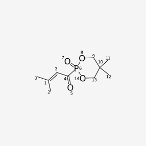 CC(C)=CC(=O)P1(=O)OCC(C)(C)CO1